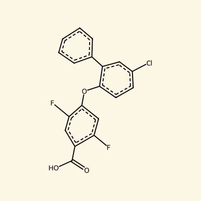 O=C(O)c1cc(F)c(Oc2ccc(Cl)cc2-c2ccccc2)cc1F